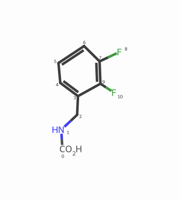 O=C(O)NCc1cccc(F)c1F